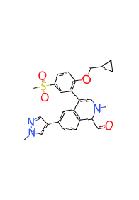 CN1C=C(c2cc(S(C)(=O)=O)ccc2OCC2CC2)c2cc(-c3cnn(C)c3)ccc2C1C=O